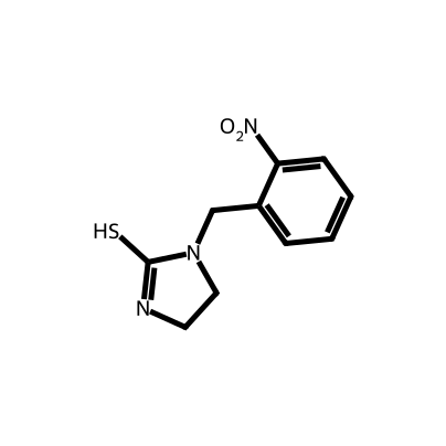 O=[N+]([O-])c1ccccc1CN1CCN=C1S